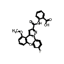 COc1cccc(O)c1-c1cc(C(=O)Nc2ccccc2C(=O)O)nn1C1=C=C=C(F)C=C1